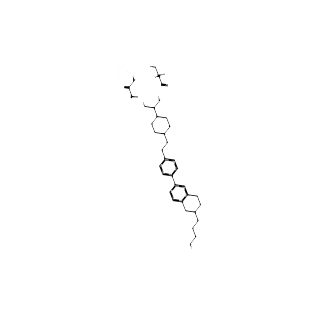 C=C(CO)C(=O)OCC(COC(=O)C(C)(C)CO)C1CCC(CCc2ccc(-c3ccc4c(c3)CCC(CCCCC)C4)cc2)CC1